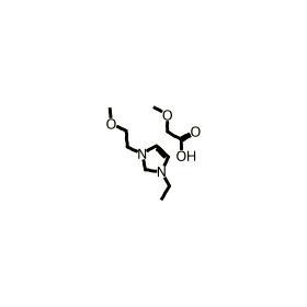 CCN1C=CN(CCOC)C1.COCC(=O)O